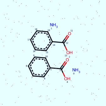 N.N.O=C(O)c1ccccc1.O=C(O)c1ccccc1